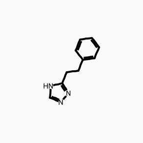 c1ccc(CCc2nnc[nH]2)cc1